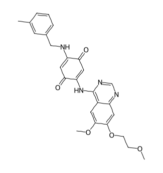 COCCOc1cc2ncnc(NC3=CC(=O)C(NCc4cccc(C)c4)=CC3=O)c2cc1OC